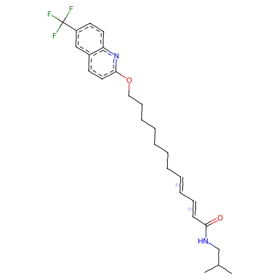 CC(C)CNC(=O)/C=C/C=C/CCCCCCCOc1ccc2cc(C(F)(F)F)ccc2n1